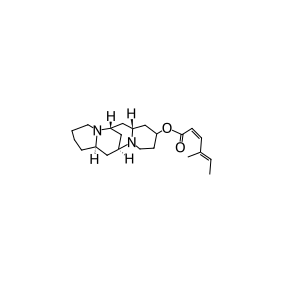 C/C=C(C)/C=C\C(=O)OC1CCN2[C@@H]3C[C@@H](C[C@@H]2C1)N1CCCC[C@@H]1C3